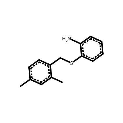 Cc1ccc(CSc2ccccc2N)c(C)c1